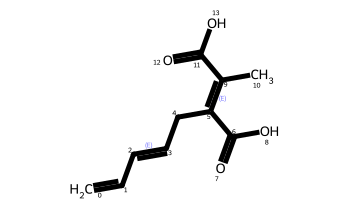 C=C/C=C/C/C(C(=O)O)=C(/C)C(=O)O